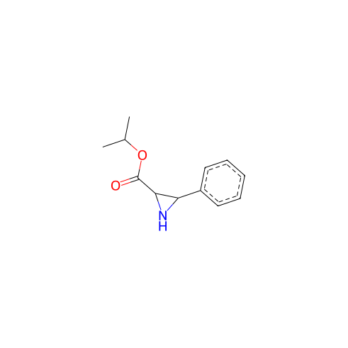 CC(C)OC(=O)C1NC1c1ccccc1